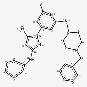 Cc1nc(NC2CCN(Cc3ccccc3)CC2)cc(-n2nc(Nc3ccccc3)nc2N)n1